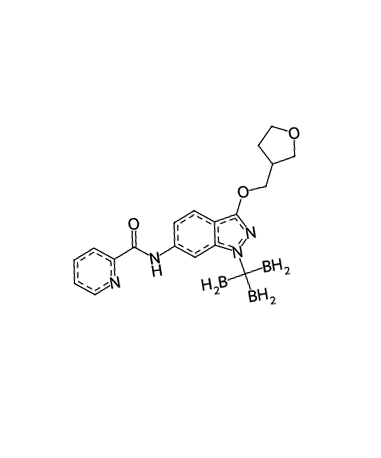 BC(B)(B)n1nc(OCC2CCOC2)c2ccc(NC(=O)c3ccccn3)cc21